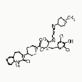 CN1CCC(N=C=C=NC(=O)[C@@H](Cc2cc(Cl)c(O)c(Cl)c2)OC(=O)N2CCC(N3CCc4ccccc4NC3=O)CC2)CC1